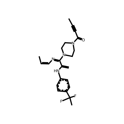 C=C(Nc1ccc(C(C)(F)F)cc1)/C(=N\C=C/C)N1CCN(C(=O)C#CC)CC1